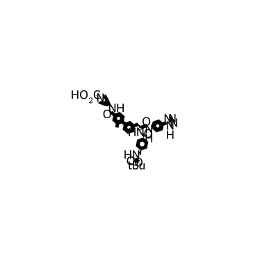 Cc1cc(C(=O)NC2C3CN(C(=O)O)CC32)ccc1-c1cccc(C[C@H](NC(=O)[C@H]2CC[C@H](CNC(=O)OC(C)(C)C)CC2)C(=O)Nc2ccc(-c3nnn[nH]3)cc2)c1